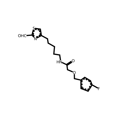 O=Cc1nc(CCCCCNC(=O)COCc2ccc(F)cc2)cs1